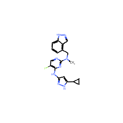 CN(Cc1cccc2[nH]ncc12)c1ncc(F)c(Nc2cc(C3CC3)[nH]n2)n1